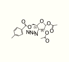 CC(=O)OC1O[C@H](COC(=O)c2ccc(C)cc2)C(N=[N+]=[N-])[C@H]1OC(C)=O